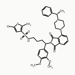 COc1ccc(C(CCCNS(=O)(=O)c2cc(Cl)sc2C)N2C(=O)c3cccc(N4CCN([C@H](C)c5ccccc5)CC4)c3C2=O)cc1OC